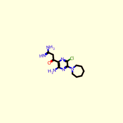 N=C(N)CC(=O)c1nc(Cl)c(N2CCCCCC2)nc1N